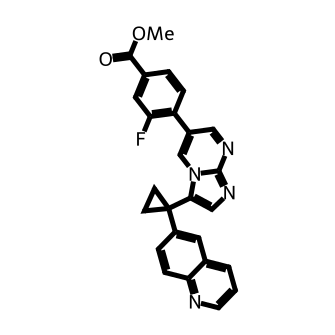 COC(=O)c1ccc(-c2cnc3ncc(C4(c5ccc6ncccc6c5)CC4)n3c2)c(F)c1